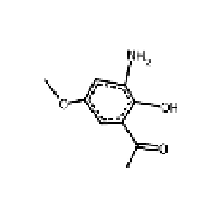 COc1cc(N)c(O)c(C(C)=O)c1